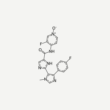 Cn1cnc(-c2ccc(F)cc2)c1-c1ncc(C(=O)Nc2cc[n+]([O-])cc2F)[nH]1